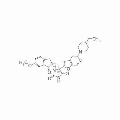 CCN1CCN(c2cc3cc([C@]4(CN5Cc6ccc(OC)cc6C5=O)NC(=O)NC4=O)oc3cn2)CC1